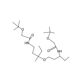 CCC(CCOC(C)(CC)CCNC(=O)COC(C)(C)C)NC(=O)COC(C)(C)C